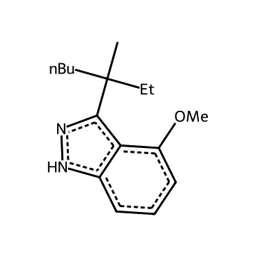 CCCCC(C)(CC)c1n[nH]c2cccc(OC)c12